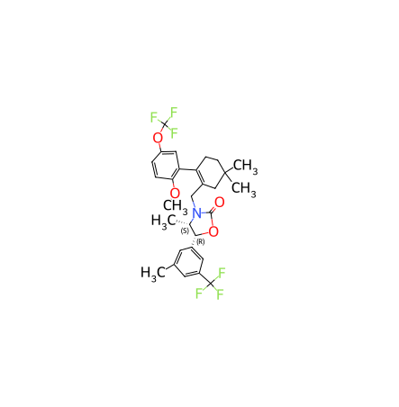 COc1ccc(OC(F)(F)F)cc1C1=C(CN2C(=O)O[C@H](c3cc(C)cc(C(F)(F)F)c3)[C@@H]2C)CC(C)(C)CC1